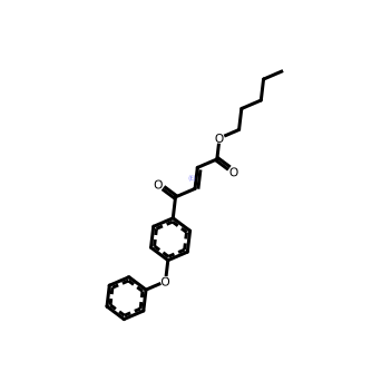 CCCCCOC(=O)/C=C/C(=O)c1ccc(Oc2ccccc2)cc1